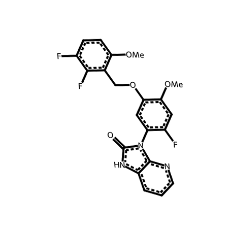 COc1cc(F)c(-n2c(=O)[nH]c3cccnc32)cc1OCc1c(OC)ccc(F)c1F